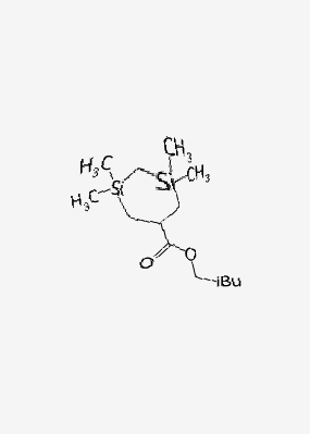 CCC(C)COC(=O)C1C[Si](C)(C)C[Si](C)(C)C1